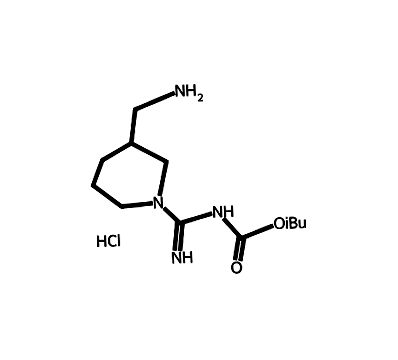 CC(C)COC(=O)NC(=N)N1CCCC(CN)C1.Cl